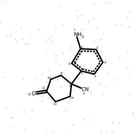 N#CC1(c2cccc(N)c2)CCC(=O)CC1